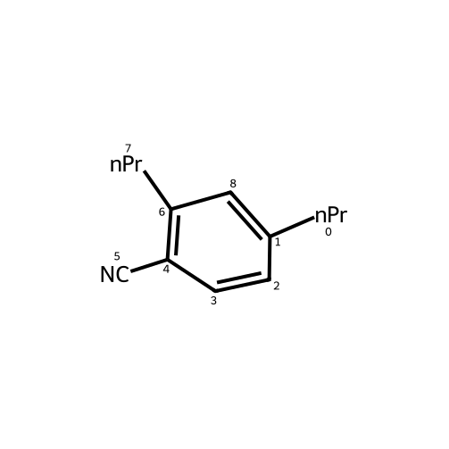 CCCc1ccc(C#N)c(CCC)c1